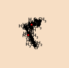 CN1C(=O)C2=C(CCCC2)C1=O.CS[C@@]1(n2cnc3c(O)ncnc32)O[C@H](CO)[C@@H](O)[C@H]1O.CSc1cc(=O)[nH]c(=O)[nH]1.Cc1cc(=O)[nH]c(=O)[nH]1.Cc1cc2c(cc1S(N)(=O)=O)S(=O)(=O)CCC2.Cc1ccc2c(c1)C(N1CCN(C)CC1)=Nc1ccccc1S2.Cc1nc(N)nc(N)c1-c1ccc(Cl)c(Cl)c1